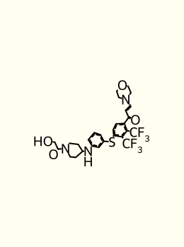 O=C(C=CN1CCOCC1)c1ccc(Sc2cccc(NC3CCN(C(=O)CO)CC3)c2)c(C(F)(F)F)c1C(F)(F)F